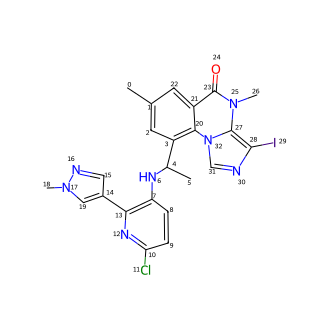 Cc1cc(C(C)Nc2ccc(Cl)nc2-c2cnn(C)c2)c2c(c1)c(=O)n(C)c1c(I)ncn21